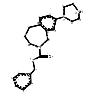 O=C(OCc1ccccc1)N1CCCc2ccc(N3CCNCC3)cc2C1